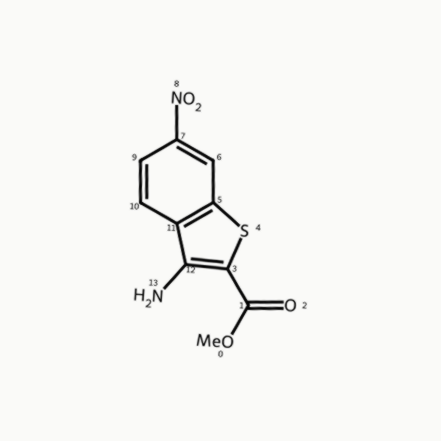 COC(=O)c1sc2cc([N+](=O)[O-])ccc2c1N